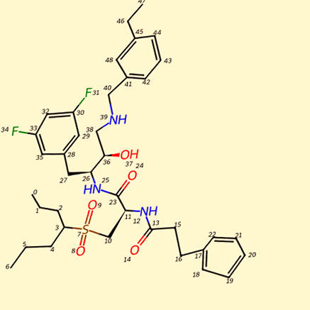 CCCC(CCC)S(=O)(=O)C[C@H](NC(=O)CCc1ccccc1)C(=O)N[C@@H](Cc1cc(F)cc(F)c1)[C@H](O)CNCc1cccc(CC)c1